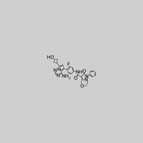 Nc1ncnn2c(C3CC(O)C3)cc(-c3ccc(NC(=O)c4c5n(n(-c6ccccc6)c4=O)CCOC5)cc3F)c12